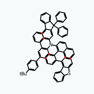 CC(C)(C)c1ccc(-c2ccc(N(c3ccc4c(c3)C(c3ccccc3)(c3ccccc3)c3ccccc3-4)c3ccc4ccccc4c3-c3ccccc3-c3cccc4sc5ccccc5c34)c(-c3ccccc3)c2)cc1